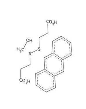 CO.O=C(O)CCSSCCC(=O)O.c1ccc2cc3ccccc3cc2c1